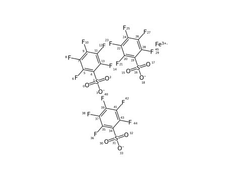 O=S(=O)([O-])c1c(F)c(F)c(F)c(F)c1F.O=S(=O)([O-])c1c(F)c(F)c(F)c(F)c1F.O=S(=O)([O-])c1c(F)c(F)c(F)c(F)c1F.[Fe+3]